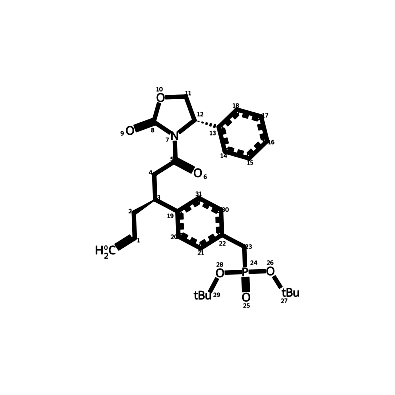 C=CC[C@@H](CC(=O)N1C(=O)OC[C@@H]1c1ccccc1)c1ccc(CP(=O)(OC(C)(C)C)OC(C)(C)C)cc1